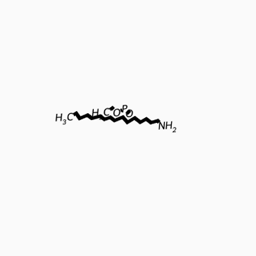 CCCCCCCCCCCCCCCCN.CCOP=O